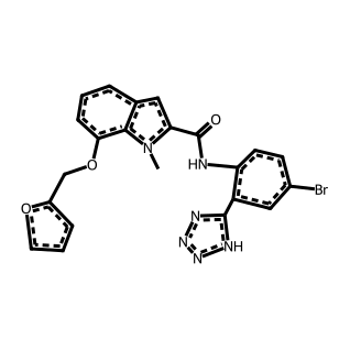 Cn1c(C(=O)Nc2ccc(Br)cc2-c2nnn[nH]2)cc2cccc(OCc3ccco3)c21